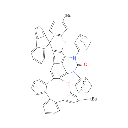 CC(C)(C)c1ccc2c(c1)B1C3=C(C4CCC3CC4)N3C(=O)N4C5=C(B6c7cc(C(C)(C)C)ccc7C7(c8ccccc8-c8ccccc87)c7cc8cc(c1c3c8c4c76)-c1ccccc1-c1ccccc1-2)C1CCC5CC1